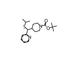 CC(C)SC(c1ccccn1)C1CCN(C(=O)OC(C)(C)C)CC1